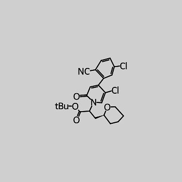 CC(C)(C)OC(=O)C(C[C@@H]1CCCCO1)n1cc(Cl)c(-c2cc(Cl)ccc2C#N)cc1=O